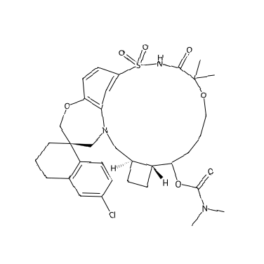 CN(C)C(=O)OC1CCCOC(C)(C)C(=O)NS(=O)(=O)c2ccc3c(c2)N(C[C@@H]2CC[C@@H]12)C[C@@]1(CCCc2cc(Cl)ccc21)CO3